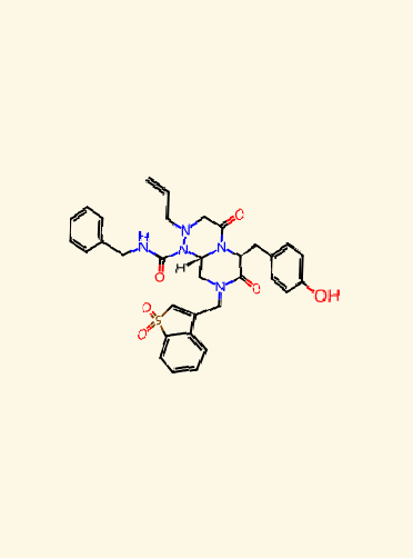 C=CCN1CC(=O)N2[C@@H](Cc3ccc(O)cc3)C(=O)N(CC3=CS(=O)(=O)c4ccccc43)C[C@@H]2N1C(=O)NCc1ccccc1